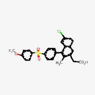 Cc1c(CC(=O)O)cc2ccc(Cl)cc2c1-c1ccc(S(=O)(=O)c2ccc(OC(F)(F)F)cc2)cc1